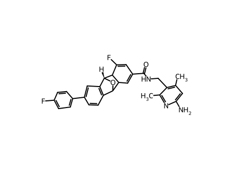 Cc1cc(N)nc(C)c1CNC(=O)C1=CC2C3O[C@H](c4cc(-c5ccc(F)cc5)ccc43)C2C(F)=C1